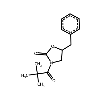 CC(C)(C)C(=O)N1CC(Cc2ccccc2)OC1=O